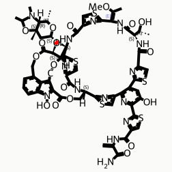 C=C(NC(=O)c1csc(-c2nc3c(cc2O)-c2nc(cs2)C(=O)N[C@@H]([C@@H](C)O)C(=O)N/C(=C(\C)OC)c2nc(cs2)C(=O)N[C@@H]2c4nc(cs4)C(=O)N[C@@H](COC(=O)c4c5c6c(cccc6n4O)COC(=O)[C@@H](O[C@H]4C[C@]6(C)OC(C)N(C)[C@@H]6[C@H](C)O4)[C@H]2OC5)c2nc-3cs2)n1)C(N)=O